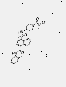 CCN(C)C(=O)N1CCC(NS(=O)(=O)c2ccc(C(=O)Nc3ccccc3C)c3ccccc23)CC1